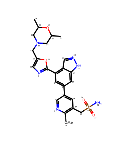 COc1ncc(-c2cc(-c3ncc(CN4CC(C)OC(C)C4)o3)c3cn[nH]c3c2)cc1CS(N)(=O)=O